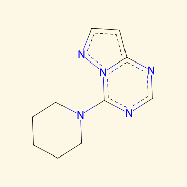 c1nc(N2CCCCC2)n2nccc2n1